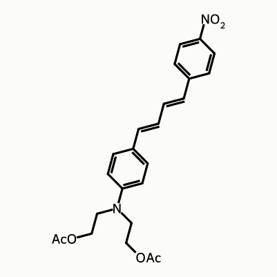 CC(=O)OCCN(CCOC(C)=O)c1ccc(C=CC=Cc2ccc([N+](=O)[O-])cc2)cc1